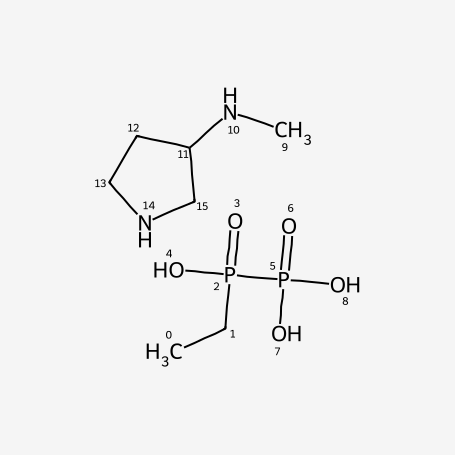 CCP(=O)(O)P(=O)(O)O.CNC1CCNC1